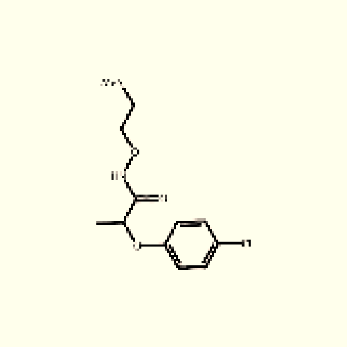 CSCCONC(=O)C(C)Oc1ccc(Cl)cc1